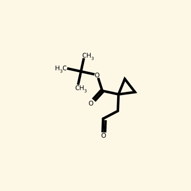 CC(C)(C)OC(=O)C1(CC=O)CC1